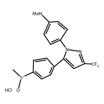 CNc1ccc(-n2nc(C(F)(F)F)cc2-c2ccc([S+](C)[O-])cc2)cc1.Cl